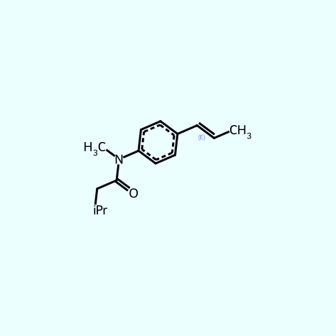 C/C=C/c1ccc(N(C)C(=O)CC(C)C)cc1